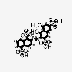 Cc1cc(S(=O)(=O)O)cc2cc(S(=O)(=O)O)c(N=Nc3ccc4c(S(=O)(=O)O)cccc4c3S(=O)(=O)O)c(O)c12